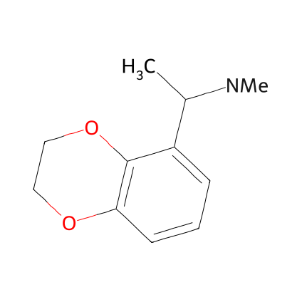 CNC(C)c1cccc2c1OCCO2